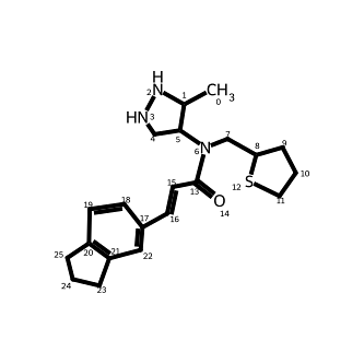 CC1NNCC1N(CC1CCCS1)C(=O)/C=C/c1ccc2c(c1)CCC2